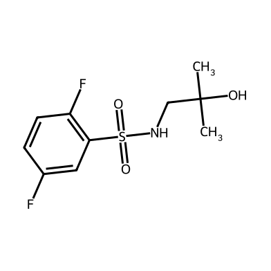 CC(C)(O)CNS(=O)(=O)c1cc(F)ccc1F